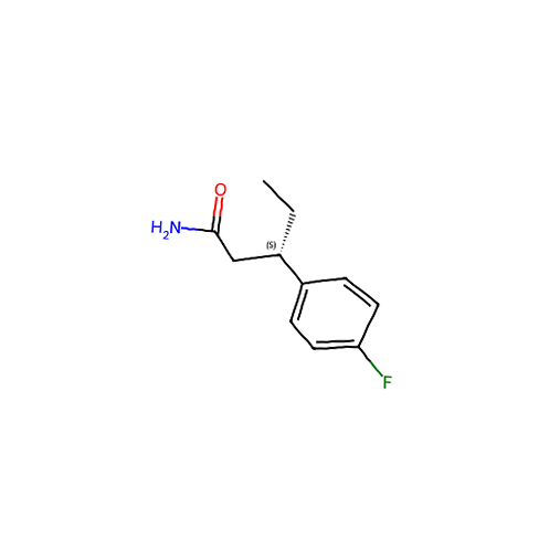 CC[C@@H](CC(N)=O)c1ccc(F)cc1